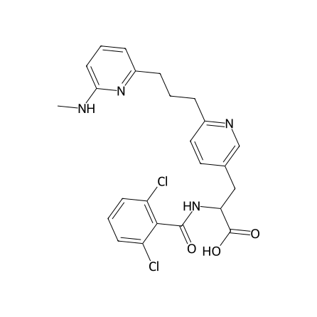 CNc1cccc(CCCc2ccc(CC(NC(=O)c3c(Cl)cccc3Cl)C(=O)O)cn2)n1